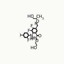 CC(CO)O/N=C/c1cc(C(=O)NOCCO)c(Nc2ccc(I)cc2F)c(F)c1F